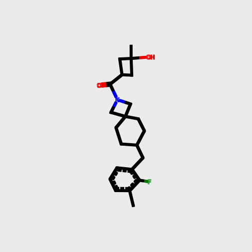 Cc1cccc(CC2CCC3(CC2)CN(C(=O)C2CC(C)(O)C2)C3)c1F